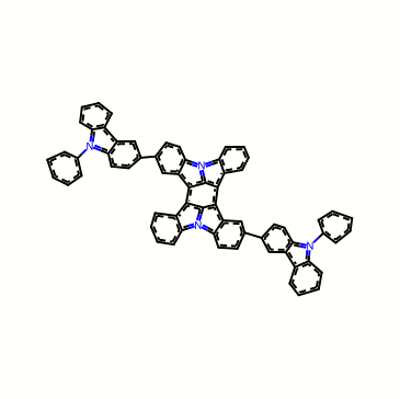 c1ccc(-n2c3ccccc3c3cc(-c4ccc5c(c4)c4c6c7ccccc7n7c8ccc(-c9ccc%10c(c9)c9ccccc9n%10-c9ccccc9)cc8c(c8c9ccccc9n5c84)c67)ccc32)cc1